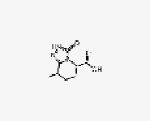 CC1CCC(C(=O)O)n2c1n[nH]c2=O